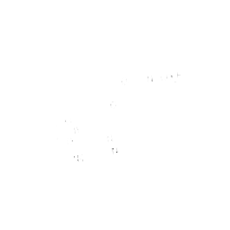 CC1(C)OB(c2cc(OCC3CN(C(=O)O)CCO3)cn3ncc(C#N)c23)OC1(C)C